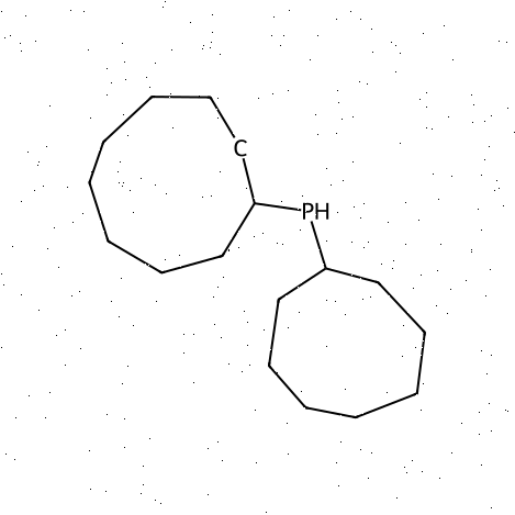 C1CCCCC(PC2CCCCCCC2)CCC1